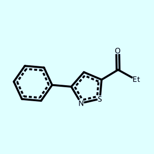 CCC(=O)c1cc(-c2ccccc2)ns1